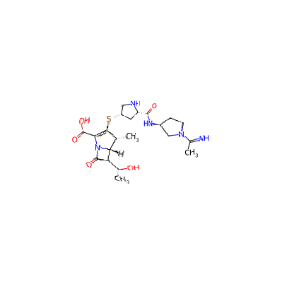 CC(=N)N1CC[C@H](NC(=O)[C@@H]2C[C@H](SC3=C(C(=O)O)N4C(=O)[C@H]([C@@H](C)O)[C@H]4[C@H]3C)CN2)C1